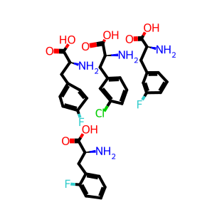 N[C@@H](Cc1ccc(F)cc1)C(=O)O.N[C@@H](Cc1cccc(Cl)c1)C(=O)O.N[C@@H](Cc1cccc(F)c1)C(=O)O.N[C@@H](Cc1ccccc1F)C(=O)O